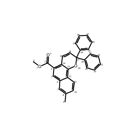 COC(=O)c1cc2cc(C)ccc2c2c1C=CC(c1ccccc1)(c1ccccc1)O2